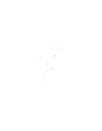 CCOC1=NS(=O)(=O)C(S(C)(=O)=O)=C1N